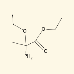 CCOC(=O)C(C)(P)OCC